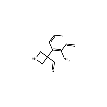 C=C/C(N)=C(\C=C/C)C1(C=O)CNC1